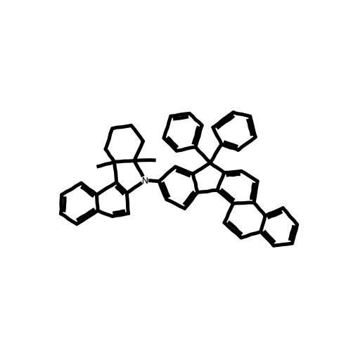 CC12CCCCC1(C)N(c1ccc3c(c1)C(c1ccccc1)(c1ccccc1)c1ccc4c(ccc5ccccc54)c1-3)c1ccc3ccccc3c12